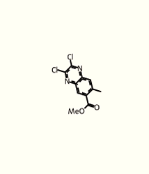 COC(=O)c1cc2nc(Cl)c(Cl)nc2cc1C